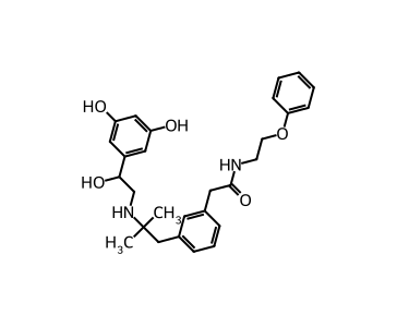 CC(C)(Cc1cccc(CC(=O)NCCOc2ccccc2)c1)NCC(O)c1cc(O)cc(O)c1